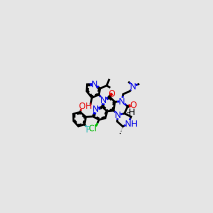 Cc1ccnc(C(C)C)c1-n1c(=O)c2c(c3cc(Cl)c(-c4c(O)cccc4F)nc31)N1C[C@@H](C)NC[C@@H]1C(=O)N2CCN(C)C